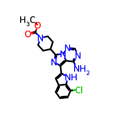 COC(=O)N1CCC(c2nc(-c3cc4cccc(Cl)c4[nH]3)c3c(N)ncnn23)CC1